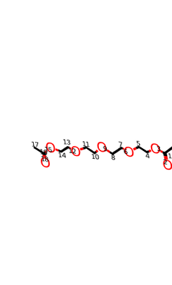 CC(=O)OCCOCCOCCOCCOC(C)=O